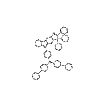 c1ccc(C2=Nc3cc4c5ccccc5n(-c5ccc(N(c6ccc(-c7ccccc7)cc6)c6ccc(-c7ccccc7)cc6)cc5)c4cc3C2(c2ccccc2)c2ccccc2)cc1